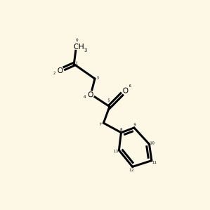 CC(=O)COC(=O)Cc1ccccc1